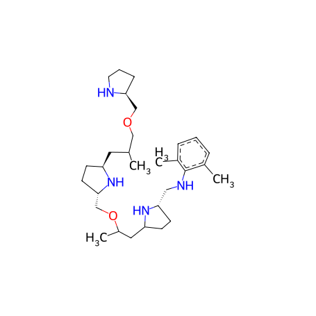 Cc1cccc(C)c1NC[C@@H]1CCC(CC(C)OC[C@@H]2CC[C@@H](CC(C)COC[C@@H]3CCCN3)N2)N1